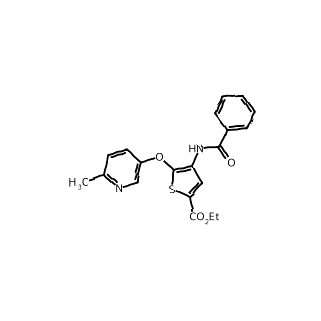 CCOC(=O)c1cc(NC(=O)c2ccccc2)c(Oc2ccc(C)nc2)s1